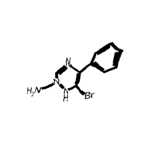 NN1C=NC(c2ccccc2)=C(Br)N1